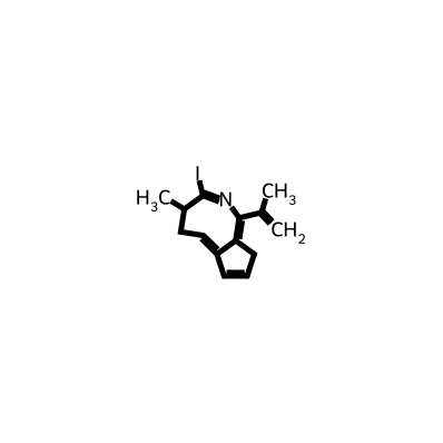 C=C(C)C1=C2\CC=C\C2=C/CC(C)/C(I)=N\1